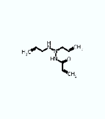 C=CCNN(CC=C)NC(=O)C=C